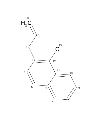 C=CCc1ccc2ccccc2c1[O]